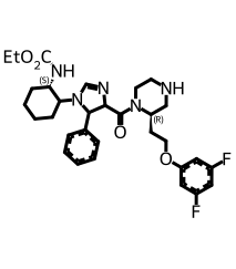 CCOC(=O)N[C@H]1CCCCC1N1C=NC(C(=O)N2CCNC[C@H]2CCOc2cc(F)cc(F)c2)C1c1ccccc1